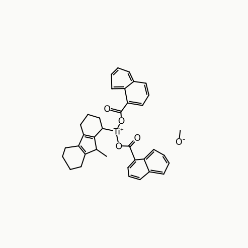 CC1C2=C(CCCC2)C2=C1[CH]([Ti+]([O]C(=O)c1cccc3ccccc13)[O]C(=O)c1cccc3ccccc13)CCC2.C[O-]